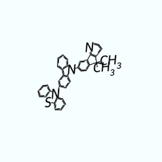 CC1(C)c2ccc(-n3c4ccccc4c4cc(N5c6ccccc6Sc6ccccc65)ccc43)cc2-c2ncccc21